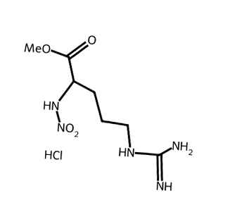 COC(=O)C(CCCNC(=N)N)N[N+](=O)[O-].Cl